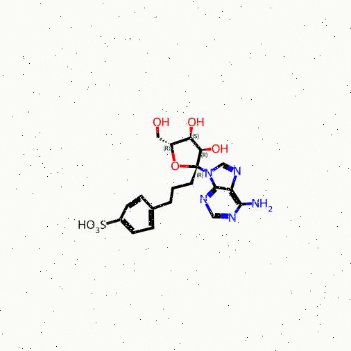 Nc1ncnc2c1ncn2[C@]1(CCCc2ccc(S(=O)(=O)O)cc2)O[C@H](CO)[C@@H](O)[C@H]1O